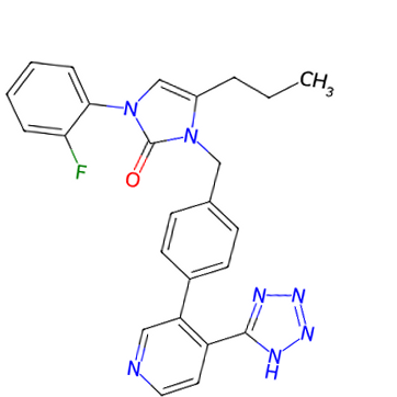 CCCc1cn(-c2ccccc2F)c(=O)n1Cc1ccc(-c2cnccc2-c2nnn[nH]2)cc1